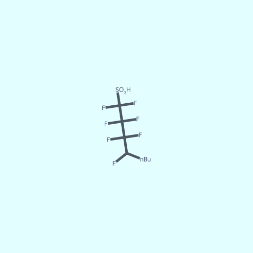 CCCCC(F)C(F)(F)C(F)(F)C(F)(F)S(=O)(=O)O